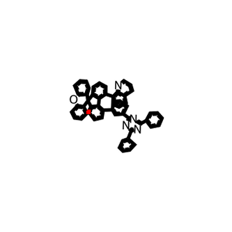 c1ccc(-c2nc(-c3ccccc3)nc(-c3cccc(-c4cccc5c4-c4c(-c6cccc7cccnc67)cccc4C54c5ccccc5Oc5ccccc54)c3)n2)cc1